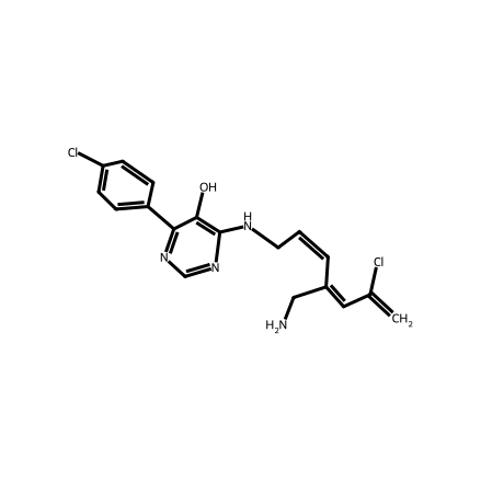 C=C(Cl)/C=C(\C=C/CNc1ncnc(-c2ccc(Cl)cc2)c1O)CN